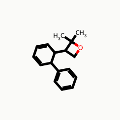 CC1(C)OCC1C1C=CC=CC1c1ccccc1